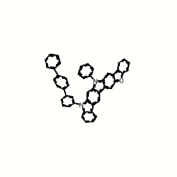 c1ccc(-c2ccc(-c3cccc(-n4c5ccccc5c5cc6c7cc8oc9ccccc9c8cc7n(-c7ccccc7)c6cc54)c3)cc2)cc1